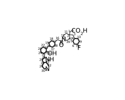 O=C(O)CC1(Cc2ccc(F)cc2)CCN(C(=O)Cc2ccc(-c3cccc(-c4cc5ccncc5[nH]4)c3O)cc2)CC1